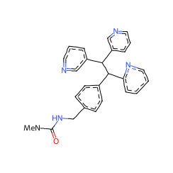 CNC(=O)NCc1ccc(C(c2ccccn2)C(c2cccnc2)c2cccnc2)cc1